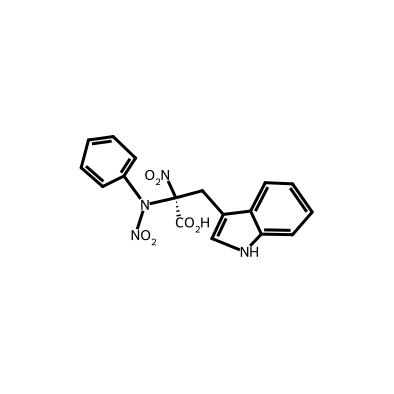 O=C(O)[C@](Cc1c[nH]c2ccccc12)(N(c1ccccc1)[N+](=O)[O-])[N+](=O)[O-]